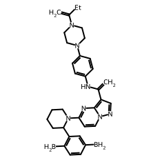 Bc1ccc(B)c(C2CCCCN2c2ccn3ncc(C(=C)Nc4ccc(N5CCN(C(=C)CC)CC5)cc4)c3n2)c1